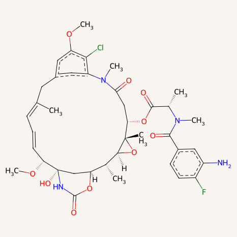 COc1cc2cc(c1Cl)N(C)C(=O)C[C@H](OC(=O)[C@H](C)N(C)C(=O)c1ccc(F)c(N)c1)[C@]1(C)O[C@H]1[C@H](C)[C@@H]1C[C@@](O)(NC(=O)O1)[C@H](OC)/C=C/C=C(\C)C2